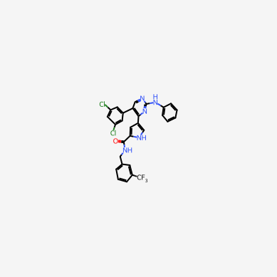 O=C(NCc1cccc(C(F)(F)F)c1)c1cc(-c2nc(Nc3ccccc3)ncc2-c2cc(Cl)cc(Cl)c2)c[nH]1